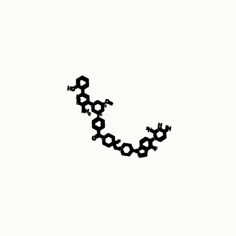 [2H]C1C=CN(c2ccc3c(ccn3C3CCN(CC4(F)CCN(C(=O)c5ccc([C@H]6C[C@@H](OC)CN(c7cc(-c8ccccc8O)nnc7N)C6)cc5)CC4)CC3)c2F)C([2H])N1